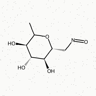 CC1O[C@H](CN=O)[C@@H](O)[C@H](O)[C@H]1O